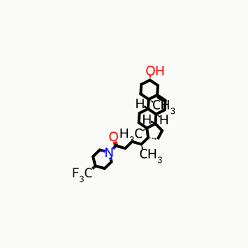 C[C@H](CCC(=O)N1CCC(C(F)(F)F)CC1)[C@H]1CC[C@H]2[C@@H]3CC=C4C[C@@H](O)CC[C@]4(C)[C@H]3CC[C@]12C